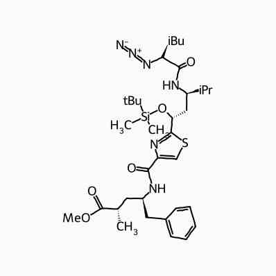 CC[C@H](C)C(N=[N+]=[N-])C(=O)N[C@H](C[C@@H](O[Si](C)(C)C(C)(C)C)c1nc(C(=O)N[C@@H](Cc2ccccc2)C[C@H](C)C(=O)OC)cs1)C(C)C